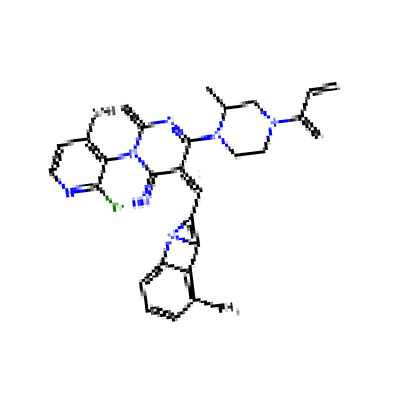 Bc1cccc2c1c1c(/C=c3/c(N4CCN(C(=C)C=C)CC4C)nc(=C)n(-c4c(SC)ccnc4Br)c3=N)n2-1